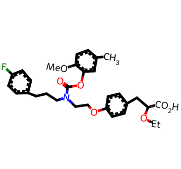 CCOC(Cc1ccc(OCCN(CCCc2ccc(F)cc2)C(=O)Oc2cc(C)ccc2OC)cc1)C(=O)O